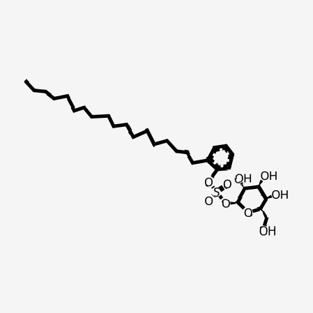 CCCCCCCCCCCCCCCCCCc1ccccc1OS(=O)(=O)O[C@@H]1O[C@H](CO)[C@H](O)[C@H](O)[C@H]1O